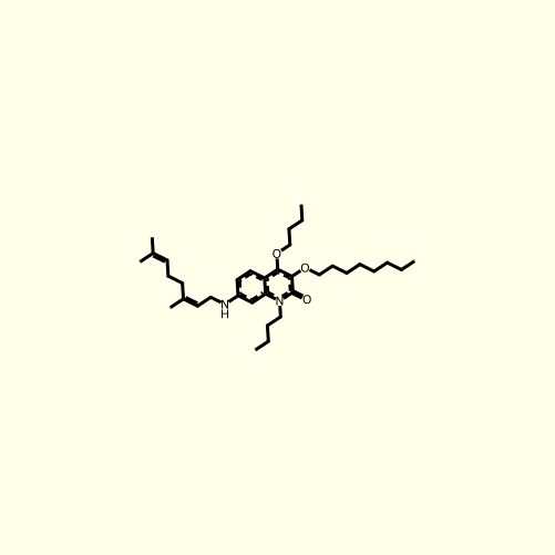 CCCCCCCCOc1c(OCCCC)c2ccc(NCC=C(C)CCC=C(C)C)cc2n(CCCC)c1=O